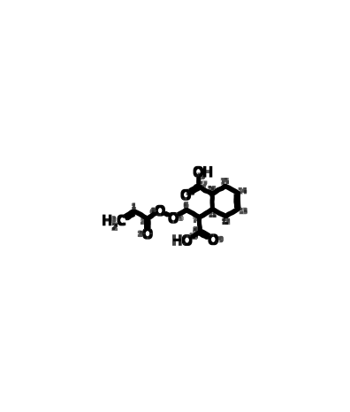 C=CC(=O)OOCC(C(=O)O)C1CC=CCC1C(=O)O